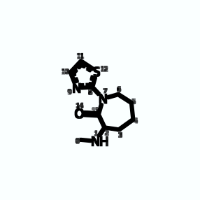 CNC1CCCCN(c2nccs2)C1=O